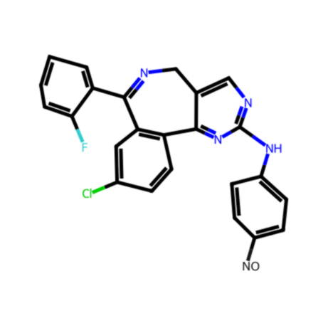 O=Nc1ccc(Nc2ncc3c(n2)-c2ccc(Cl)cc2C(c2ccccc2F)=NC3)cc1